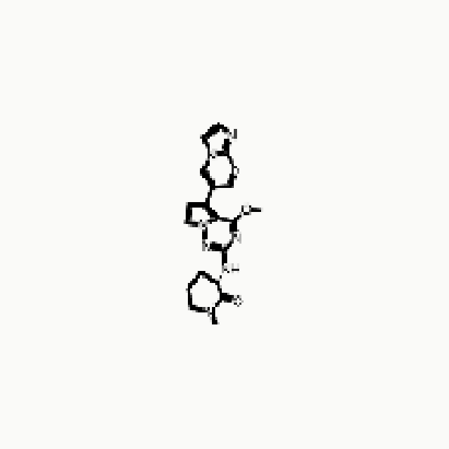 COc1nc(N[C@H]2CCCN(C)C2=O)nn2ccc(-c3cnc4nccn4c3)c12